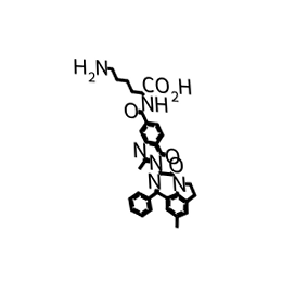 Cc1cc2c3c(c1)C(c1ccccc1)=NC(n1c(C)nc4cc(C(=O)NC(CCCCN)C(=O)O)ccc4c1=O)C(=O)N3CC2